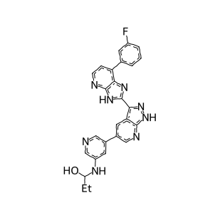 CCC(O)Nc1cncc(-c2cnc3[nH]nc(-c4nc5c(-c6cccc(F)c6)ccnc5[nH]4)c3c2)c1